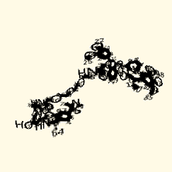 CC[C@H](C(=O)N1CCCC[C@H]1C(=O)O[C@H](CCc1ccc(OC)c(OC)c1)c1ccccc1OCC(=O)NCCOCCOCCOCC(=O)N[C@H](C(=O)N1C[C@H](O)C[C@H]1C(=O)N[C@@H](C)c1ccc(-c2scnc2C)cc1)C(C)(C)C)c1cc(OC)c(OC)c(OC)c1